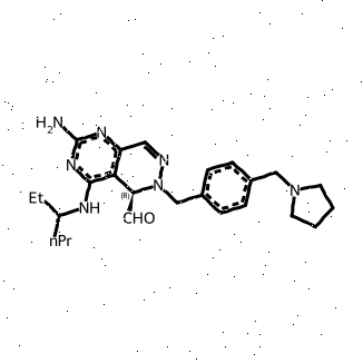 CCCC(CC)Nc1nc(N)nc2c1[C@H](C=O)N(Cc1ccc(CN3CCCC3)cc1)N=C2